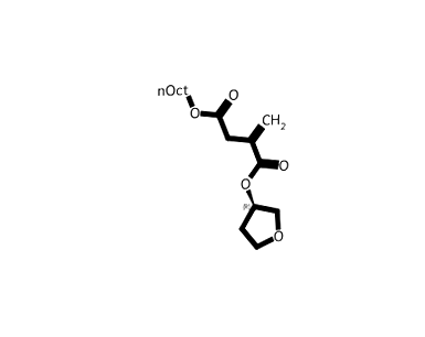 C=C(CC(=O)OCCCCCCCC)C(=O)O[C@@H]1CCOC1